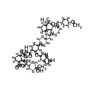 COc1ccc(CN2CCCN(C3CC4(CCN(c5ccc(C(=O)NS(=O)(=O)c6cccc([N+](=O)[O-])c6NCC6CCC(C)(O)CC6)c(Oc6cnc7[nH]ccc7c6)c5)CC4)C3)C(c3ccccc3C(C)C)C2)cc1